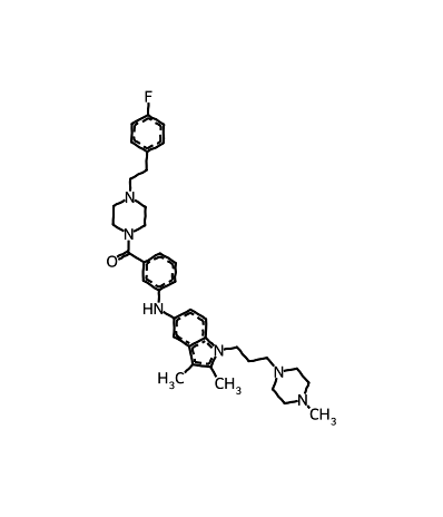 Cc1c(C)n(CCCN2CCN(C)CC2)c2ccc(Nc3cccc(C(=O)N4CCN(CCc5ccc(F)cc5)CC4)c3)cc12